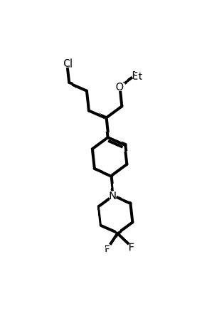 CCOCC(CCCCl)C1=CCC(N2CCC(F)(F)CC2)CC1